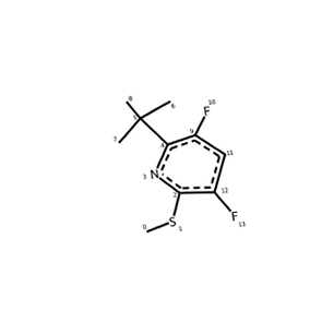 CSc1nc(C(C)(C)C)c(F)cc1F